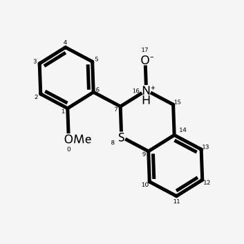 COc1ccccc1C1Sc2ccccc2C[NH+]1[O-]